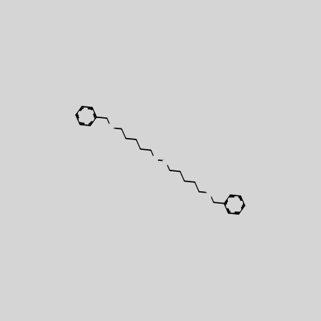 c1ccc(COCCCCCSSCCCCCOCc2ccccc2)cc1